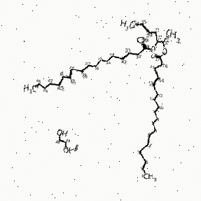 CCCCCCCCCCCCCCCCCC(=O)OC(C)C(CCCC)OC(=O)CCCCCCCCCCCCCCCCC.OCCO